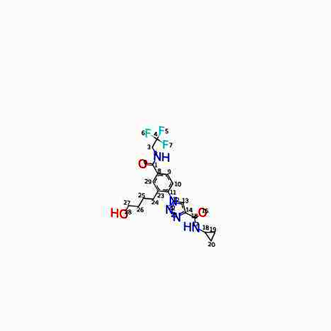 O=C(NCC(F)(F)F)c1ccc(-n2cc(C(=O)NC3CC3)nn2)c(CCCCO)c1